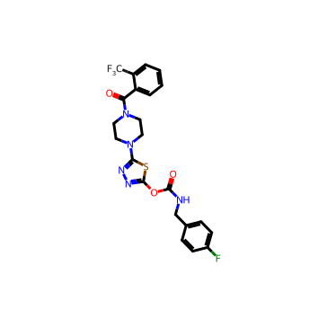 O=C(NCc1ccc(F)cc1)Oc1nnc(N2CCN(C(=O)c3ccccc3C(F)(F)F)CC2)s1